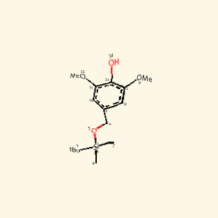 COc1cc(CO[Si](C)(C)C(C)(C)C)cc(OC)c1O